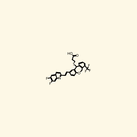 O=C(O)CCSC1c2cc(/C=C/c3ccc4cc(F)c(F)cc4n3)ccc2OCc2c1cccc2C(F)(F)F